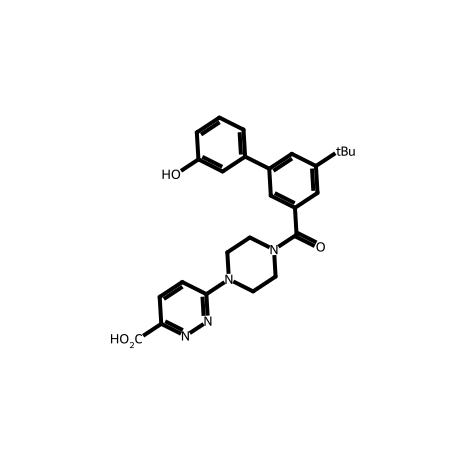 CC(C)(C)c1cc(C(=O)N2CCN(c3ccc(C(=O)O)nn3)CC2)cc(-c2cccc(O)c2)c1